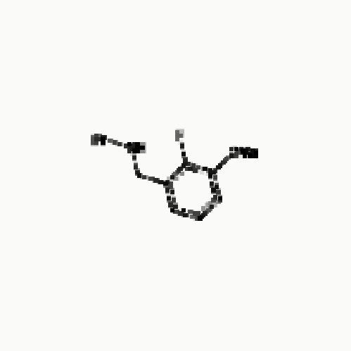 COc1cccc(CNC(C)C)c1F